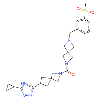 CS(=O)(=O)c1cccc(CN2CC3(C2)CN(C(=O)N2CC4(CC(c5nnc(C6CC6)[nH]5)C4)C2)C3)c1